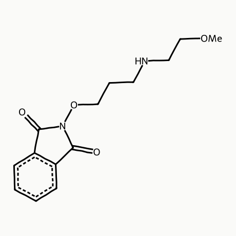 COCCNCCCON1C(=O)c2ccccc2C1=O